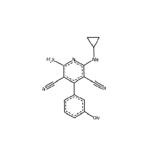 N#Cc1c(N)nc(NC2CC2)c(C#N)c1-c1cccc(O)c1